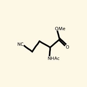 COC(=O)C(CCC#N)NC(C)=O